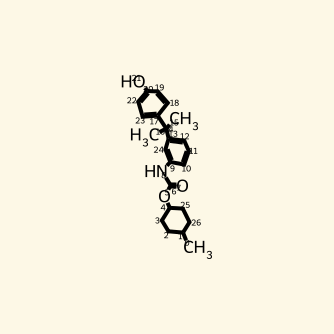 CC1CCC(OC(=O)Nc2cccc(C(C)(C)c3ccc(O)cc3)c2)CC1